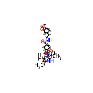 C=CC(=O)NC1CC(C)(C)N(S(=O)(=O)c2ccc(C(=O)NCCc3ccc4c(c3)OCO4)cc2)C1(C)C